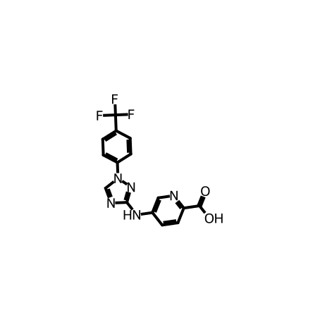 O=C(O)c1ccc(Nc2ncn(-c3ccc(C(F)(F)F)cc3)n2)cn1